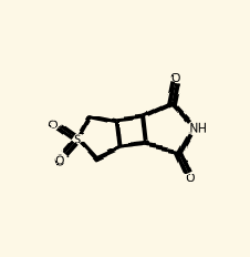 O=C1NC(=O)C2C3CS(=O)(=O)CC3C12